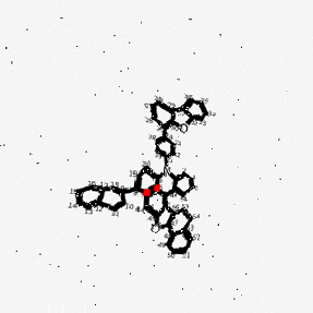 c1ccc(N(c2ccc(-c3ccc4ccccc4c3)cc2)c2ccc(-c3cccc4c3oc3ccccc34)cc2)c(-c2cccc3oc4c5ccccc5ccc4c23)c1